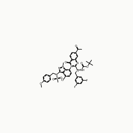 COc1ccc(CN(c2nn(C)c3c(-n4c([C@H](Cc5cc(F)cc(F)c5)NC(=O)OC(C)(C)C)nc5cc(C(C)=O)ccc5c4=O)ccc(Cl)c23)S(C)(=O)=O)cc1